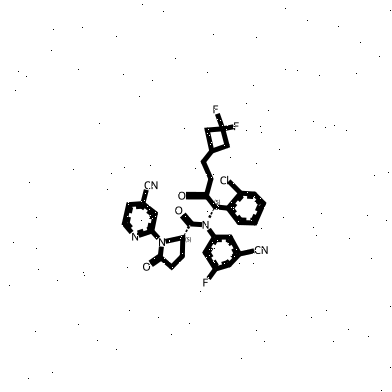 N#Cc1cc(F)cc(N(C(=O)[C@@H]2CCC(=O)N2c2cc(C#N)ccn2)[C@H](C(=O)CCC2CC(F)(F)C2)c2ccccc2Cl)c1